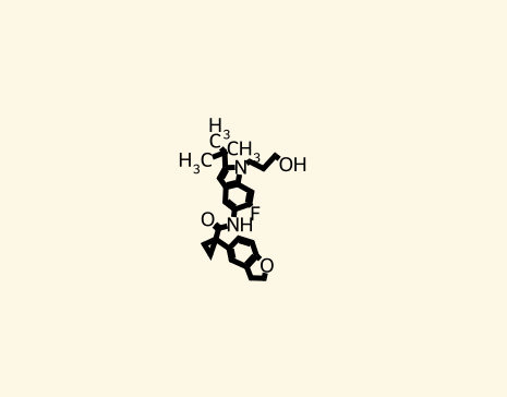 CC(C)(C)c1cc2cc(NC(=O)C3(c4ccc5c(c4)CCO5)CC3)c(F)cc2n1CCCO